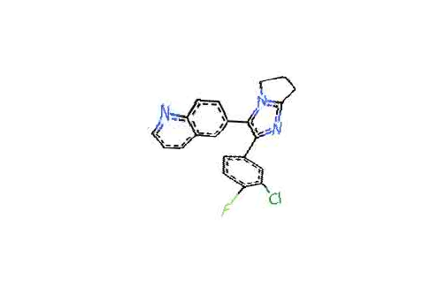 Fc1ccc(-c2nc3n(c2-c2ccc4ncccc4c2)CCC3)cc1Cl